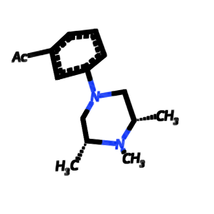 CC(=O)c1cccc(N2C[C@@H](C)N(C)[C@@H](C)C2)c1